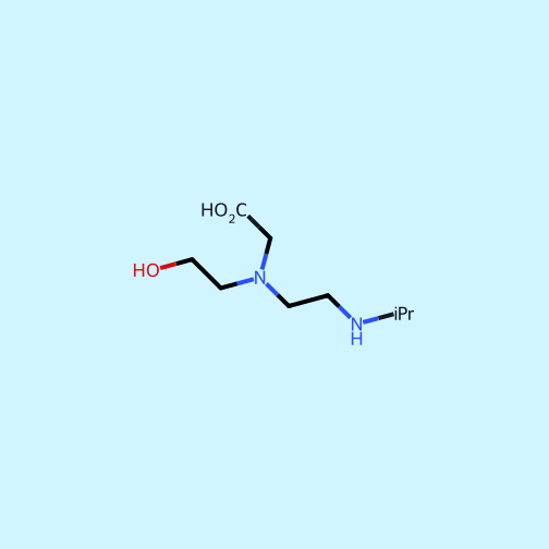 CC(C)NCCN(CCO)CC(=O)O